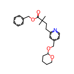 CC(C)(CCc1cc(COC2CCCCO2)ccn1)C(=O)OCc1ccccc1